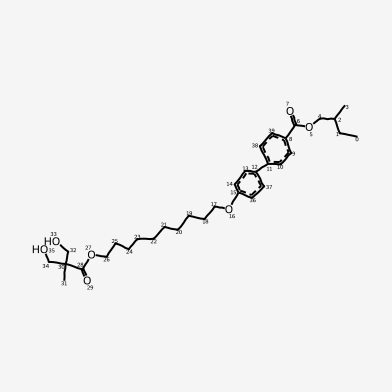 CCC(C)COC(=O)c1ccc(-c2ccc(OCCCCCCCCCCOC(=O)C(C)(CO)CO)cc2)cc1